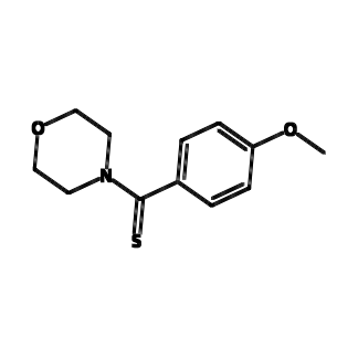 COc1ccc(C(=S)N2CCOCC2)cc1